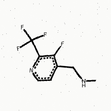 CNCc1ccnc(C(F)(F)F)c1F